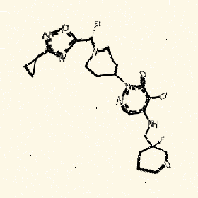 CC[C@@H](c1nc(C2CC2)no1)N1CCC(n2ncc(NC[C@@]3(F)CCCOC3)c(Cl)c2=O)CC1